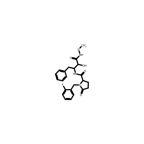 CONC(=O)C(O)C(Cc1ccccc1)NC(=O)C1CCC(=O)N1Cc1ccccc1F